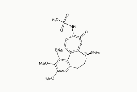 COc1cc2c(c(OC)c1OC)-c1ccc(NS(C)(=O)=O)c(=O)cc1[C@@H](NC(C)=O)CC2